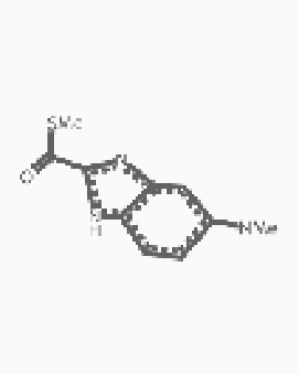 CNc1ccc2[nH]c(C(=O)SC)nc2c1